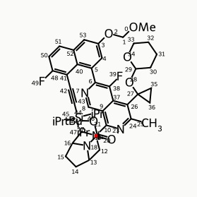 COCOc1cc(-c2ncc3c(N4CC5CCC(C4)N5C(=O)OC(C)(C)C)nc(C)c(C4(OC5CCCCO5)CC4)c3c2F)c2c(C#C[Si](C(C)C)(C(C)C)C(C)C)c(F)ccc2c1